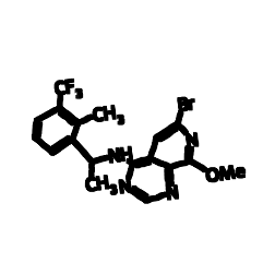 COc1nc(Br)cc2c(NC(C)c3cccc(C(F)(F)F)c3C)ncnc12